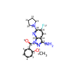 COc1ccccc1C(=O)n1nc(N)c2cc(F)c(N3CCCC3)nc21